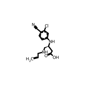 C=CCNC[C@H](CC(=O)O)Nc1ccc(C#N)c(Cl)c1